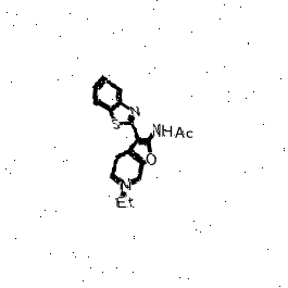 CCN1CCc2c(oc(NC(C)=O)c2-c2nc3ccccc3s2)C1